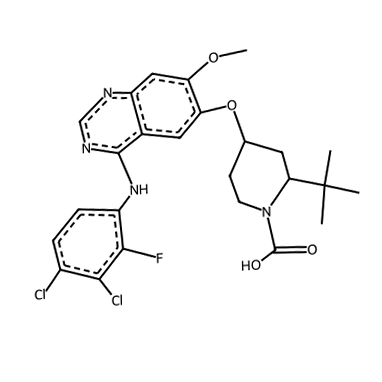 COc1cc2ncnc(Nc3ccc(Cl)c(Cl)c3F)c2cc1OC1CCN(C(=O)O)C(C(C)(C)C)C1